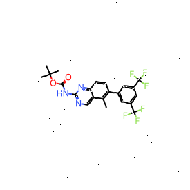 Cc1c(-c2cc(C(F)(F)F)cc(C(F)(F)F)c2)ccc2nc(NC(=O)OC(C)(C)C)ncc12